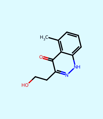 Cc1cccc2[nH]nc(CCO)c(=O)c12